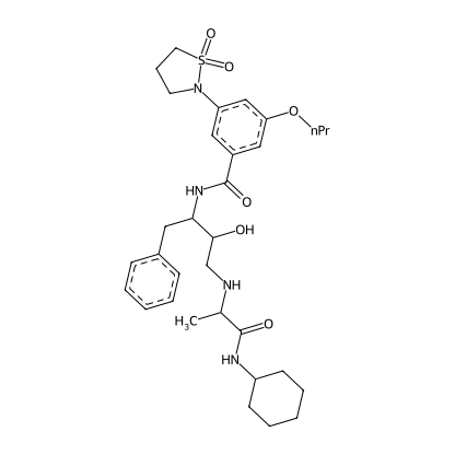 CCCOc1cc(C(=O)NC(Cc2ccccc2)C(O)CNC(C)C(=O)NC2CCCCC2)cc(N2CCCS2(=O)=O)c1